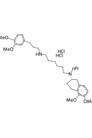 CCCN(CCCCCCNCCCc1ccc(OC)c(OC)c1)[C@H]1CCc2c(ccc(OC)c2OC)C1.Cl.Cl